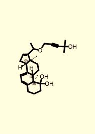 CC(OCC#CC(C)(C)O)C1=CC[C@H]2C3=CC=C4CCCC(O)(O)[C@]4(C)[C@H]3CC[C@]12C